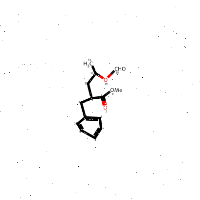 COC(=O)C(Cc1ccccc1)CC(C)OC=O